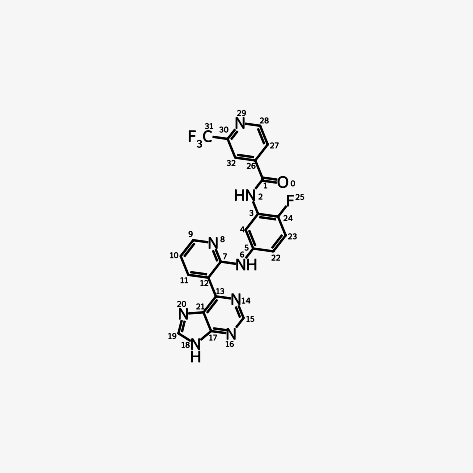 O=C(Nc1cc(Nc2ncccc2-c2ncnc3[nH]cnc23)ccc1F)c1ccnc(C(F)(F)F)c1